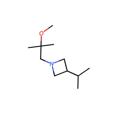 COC(C)(C)CN1CC(C(C)C)C1